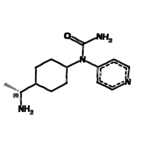 C[C@@H](N)C1CCC(N(C(N)=O)c2ccncc2)CC1